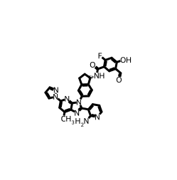 Cc1cc(-n2cccn2)nc2c1nc(-c1cccnc1N)n2-c1ccc2c(c1)CC[C@@H]2NC(=O)c1cc(C=O)c(O)cc1F